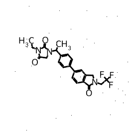 CCN1C(=O)CN(C(C)c2ccc(-c3ccc4c(c3)CN(CC(F)(F)F)C4=O)cc2)C1=O